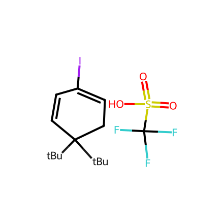 CC(C)(C)C1(C(C)(C)C)C=CC(I)=CC1.O=S(=O)(O)C(F)(F)F